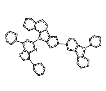 c1ccc(-c2csc3c(-c4ccccc4)nc(-n4c5ccc(-c6ccc7c(c6)c6ccccc6n7-c6ccccc6)cc5c5ccc6ccccc6c54)nc23)cc1